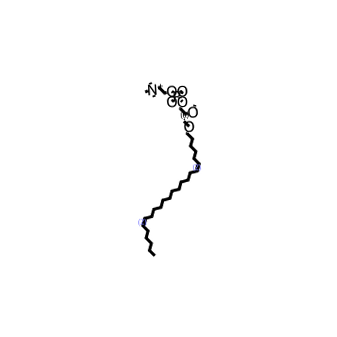 CCCCC/C=C\CCCCCCCCCC/C=C\CCCCCOC[C@H](COP(=O)([O-])OCC[N+](C)(C)C)OC